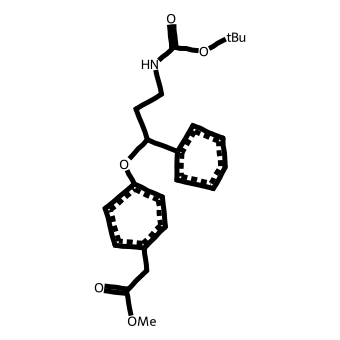 COC(=O)Cc1ccc(OC(CCNC(=O)OC(C)(C)C)c2ccccc2)cc1